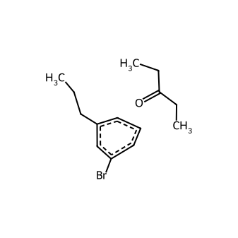 CCC(=O)CC.CCCc1cccc(Br)c1